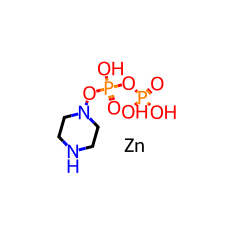 O=P(O)(O)OP(=O)(O)ON1CCNCC1.[Zn]